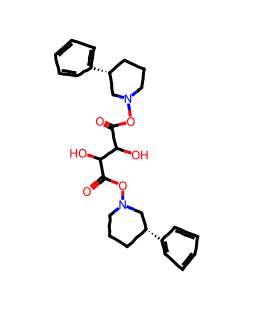 O=C(ON1CCC[C@@H](c2ccccc2)C1)C(O)C(O)C(=O)ON1CCC[C@@H](c2ccccc2)C1